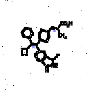 C/C(=C\c1ccc(/C(=C(\c2ccccc2)C2CCC2)c2ccc3c(c2)C(F)NN3)cc1)C(=O)O